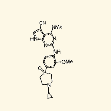 CNc1nc(Nc2ccc(P3(=O)CCN(C4CC4)CC3)cc2OC)nc2[nH]cc(C#N)c12